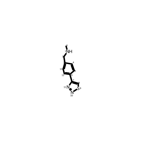 CNCc1ccc(-c2csnn2)cc1